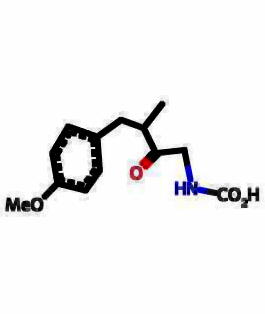 COc1ccc(CC(C)C(=O)CNC(=O)O)cc1